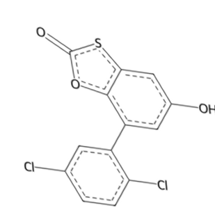 O=c1oc2c(-c3cc(Cl)ccc3Cl)cc(O)cc2s1